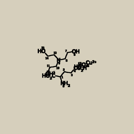 NC(CCC(=O)O)C(=O)O.OCCN(CCO)CCO.[Cu+2].[OH-].[OH-]